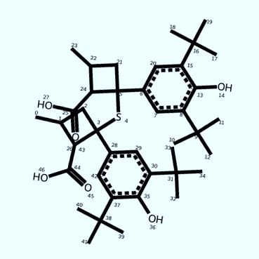 CC1CC(SC2(c3cc(C(C)(C)C)c(O)c(C(C)(C)C)c3)CC(C)C2C(=O)O)(c2cc(C(C)(C)C)c(O)c(C(C)(C)C)c2)C1C(=O)O